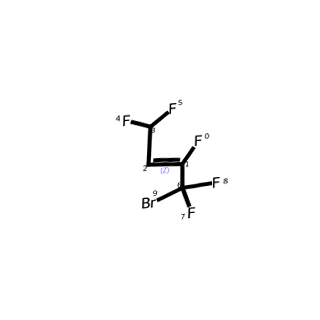 F/C(=C\C(F)F)C(F)(F)Br